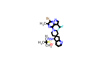 Cc1nc(N2CCC3(CC2)Cc2ncccc2[C@H]3N[S@+]([O-])C(C)(C)C)c2c(C(F)F)cnn2c1Br